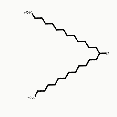 [CH2]CC(CCCCCCCCCCCCCCCCCCCCCC)CCCCCCCCCCCCCCCCCCCCCC